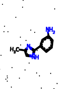 Cc1c[nH]c(-c2cccc(N)c2)n1